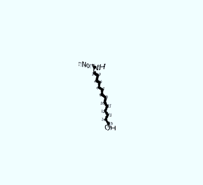 CCCCCCCCCNCCCCCCCCCCCCCCO